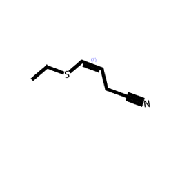 C[CH]S/C=C\CC#N